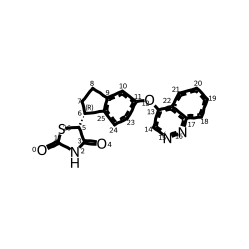 O=C1NC(=O)C([C@@H]2CCc3cc(Oc4cnnc5ccccc45)ccc32)S1